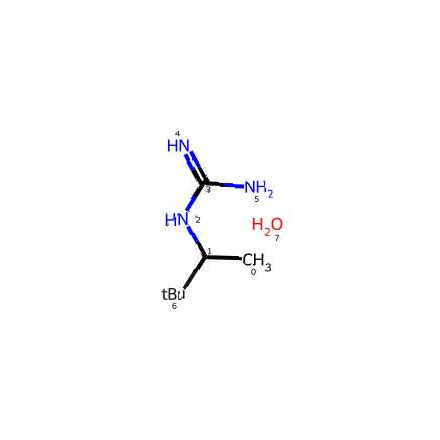 CC(NC(=N)N)C(C)(C)C.O